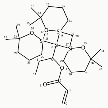 C=CC(=O)OC(CC)[Si]([Si]1(C)CCCC(C)(C)O1)([Si]1(C)CCCC(C)(C)O1)[Si]1(C)CCCC(C)(C)O1